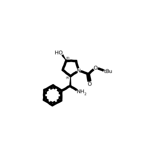 CC(C)(C)OC(=O)N1C[C@H](O)C[C@@H]1C(N)c1ccccc1